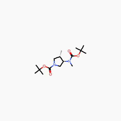 C[C@H]1CN(C(=O)OC(C)(C)C)C[C@@H]1N(C)C(=O)OC(C)(C)C